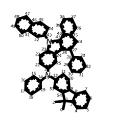 CC1(C)c2ccccc2-c2ccc(N(c3ccccc3)c3ccc4c(c3)c3c(-c5ccccc5)cc5ccccc5c3n4-c3ccc4ccccc4c3)cc21